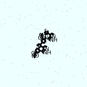 CN(C)S(=O)(=O)c1cccc(-c2c[nH]c3nccc(-c4cscc4-c4ccc(Nc5c[nH]c6nccc(-c7ccsc7)c56)c(S(=O)(=O)N(C)C)c4)c23)c1